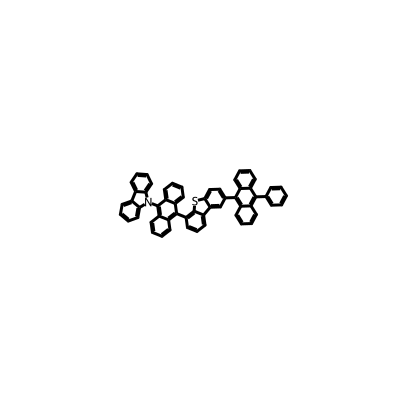 c1ccc(-c2c3ccccc3c(-c3ccc4sc5c(-c6c7ccccc7c(-n7c8ccccc8c8ccccc87)c7ccccc67)cccc5c4c3)c3ccccc23)cc1